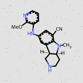 COc1ncccc1Nc1cc(C#N)c2c(c1)[C@@H]1CNCC[C@@H]1N2C